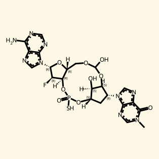 Cn1cnc2c(ncn2[C@@H]2C[C@@H]3OP(=O)(S)O[C@H]4[C@@H](F)[C@H](n5cnc6c(N)ncnc65)O[C@@H]4COC(O)O[C@@H]2[C@@H]3O)c1=O